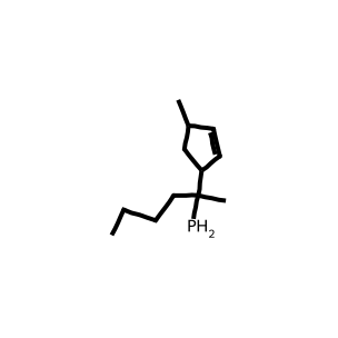 CCCCC(C)(P)C1C=CC(C)C1